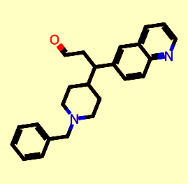 O=CCC(c1ccc2ncccc2c1)C1CCN(Cc2ccccc2)CC1